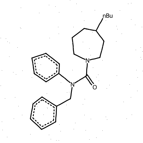 CCCCC1CCCN(C(=O)N(Cc2ccccc2)c2ccccc2)CC1